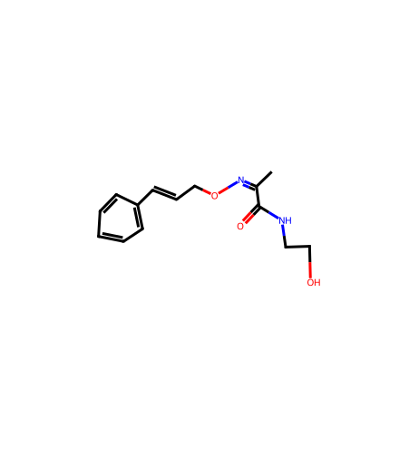 CC(=NOC/C=C/c1ccccc1)C(=O)NCCO